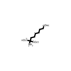 CCCCCCCCCCCCCCCCC(N)(CCCCCCCC)CCCCCCCC